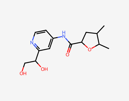 CC1CC(C(=O)Nc2ccnc(C(O)CO)c2)OC1C